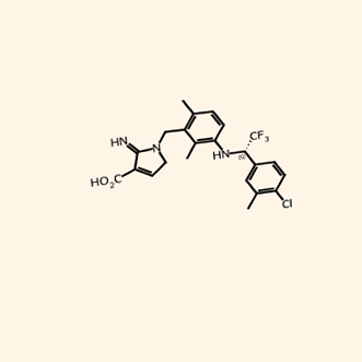 Cc1cc([C@H](Nc2ccc(C)c(CN3CC=C(C(=O)O)C3=N)c2C)C(F)(F)F)ccc1Cl